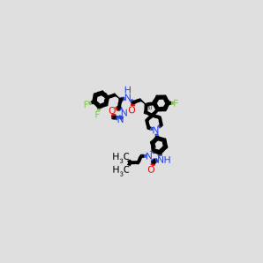 CC(C)CCn1c(=O)[nH]c2ccc(N3CCC4(CC3)C[C@@H](CC(=O)N[C@H](Cc3ccc(F)c(F)c3)c3nnco3)c3ccc(F)cc34)cc21